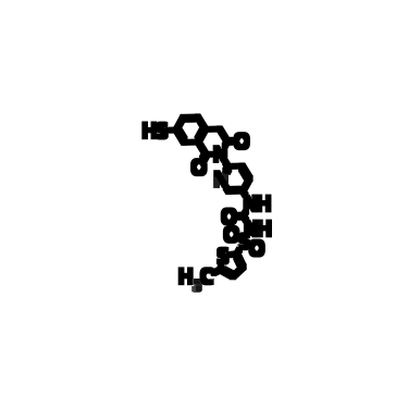 Cc1ccc(S(=O)(=O)NC(=O)Nc2ccc(N3C(=O)Cc4ccc(S)cc4C3=O)nc2)s1